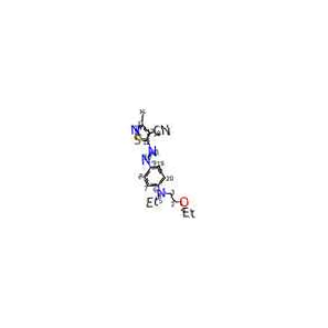 CCOCCN(CC)c1ccc(/N=N/c2snc(C)c2C#N)cc1